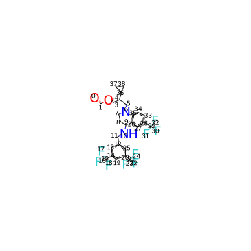 O=COCC(CN1CCC(NCc2cc(C(F)(F)F)cc(C(F)(F)F)c2)c2cc(C(F)(F)F)ccc21)C1CC1